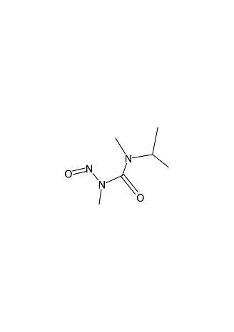 CC(C)N(C)C(=O)N(C)N=O